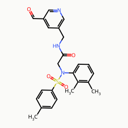 Cc1ccc(S(=O)(=O)N(CC(=O)NCc2cncc(C=O)c2)c2cccc(C)c2C)cc1